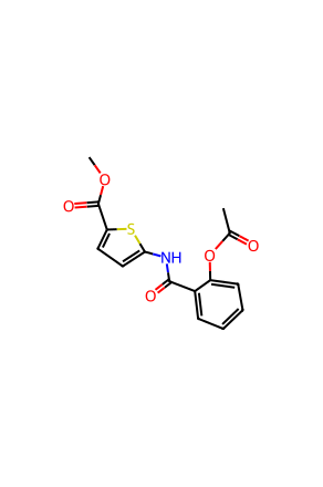 COC(=O)c1ccc(NC(=O)c2ccccc2OC(C)=O)s1